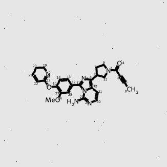 CC#CC(=O)N1CCC(c2nc(-c3ccc(OC4=NCCC=C4)c(OC)c3)n3c(N)nccc23)C1